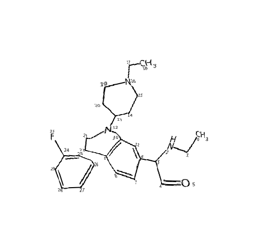 CCNC(C=O)c1ccc2c(c1)N(C1CCN(CC)CC1)CC2.Fc1ccccc1